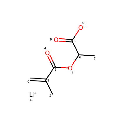 C=C(C)C(=O)OC(C)C(=O)[O-].[Li+]